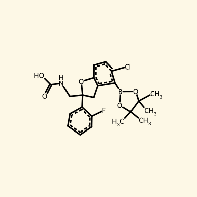 CC1(C)OB(c2c(Cl)ccc3c2CC(CNC(=O)O)(c2ccccc2F)O3)OC1(C)C